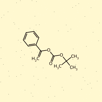 C=C(OC(=O)OC(C)(C)C)c1ccccc1